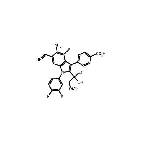 CCC(O)(COC)c1c(-c2ccc(C(=O)O)cc2)c2c(F)c(N)c(C=N)cc2n1-c1ccc(F)c(F)c1